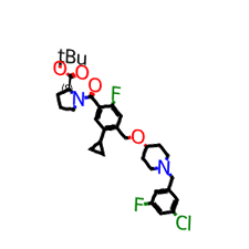 CC(C)(C)OC(=O)[C@@H]1CCCN1C(=O)c1cc(C2CC2)c(COC2CCN(Cc3cc(F)cc(Cl)c3)CC2)cc1F